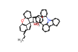 C=C/C=C\C=C/C1(C(=C)/C=C\C=C(/O)c2cccc3c4ccccc4n(-c4ccccc4)c23)C2=C(C=CCC2)Oc2cccc(-c3ccccc3)c21